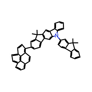 CC1(C)c2ccccc2-c2ccc(-n3c4ccccc4c4cc5c(cc43)-c3ccc(-c4ccc6ccc7cccc8ccc4c6c78)cc3C5(C)C)cc21